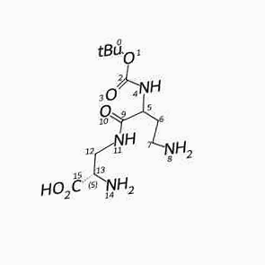 CC(C)(C)OC(=O)NC(CCN)C(=O)NC[C@H](N)C(=O)O